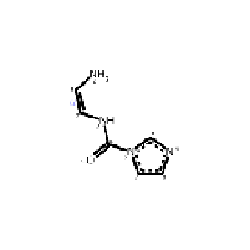 N/C=C\NC(=O)n1ccnc1